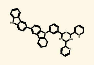 C1=CCNC(C2NC(c3cccc(-n4c5c(c6cc(-c7ccc8[nH]c9ccccc9c8c7)ccc64)C=CCC5)c3)NC(C3C=CC=CN3)N2)=C1